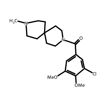 COc1cc(C(=O)N2CCC3(CCN(C)CC3)CC2)cc(Cl)c1OC